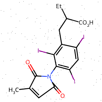 CCC(Cc1c(I)cc(I)c(N2C(=O)C=C(C)C2=O)c1I)C(=O)O